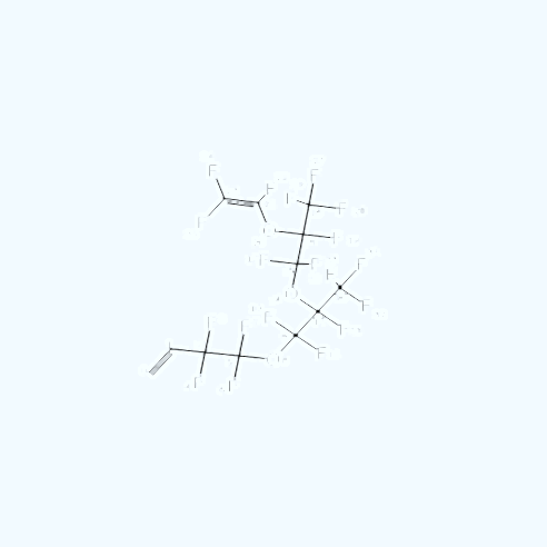 C=CC(F)(F)C(F)(F)OC(F)(F)C(F)(OC(F)(F)C(F)(OC(F)=C(F)F)C(F)(F)F)C(F)(F)F